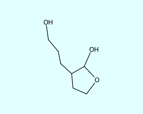 OCCCC1CCOC1O